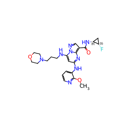 COc1ncccc1Nc1cc(NCCCN2CCOCC2)n2ncc(C(=O)N[C@@H]3C[C@@H]3F)c2n1